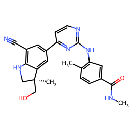 CNC(=O)c1ccc(C)c(Nc2nccc(-c3cc(C#N)c4c(c3)[C@@](C)(CO)CN4)n2)c1